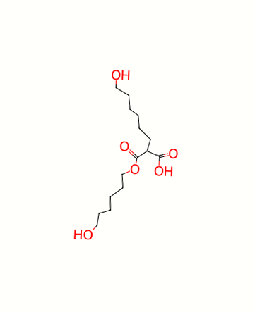 O=C(O)C(CCCCCCO)C(=O)OCCCCCCO